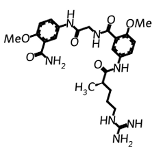 COc1ccc(NC(=O)CNC(=O)c2cc(NC(=O)[C@H](C)CCCNC(=N)N)ccc2OC)cc1C(N)=O